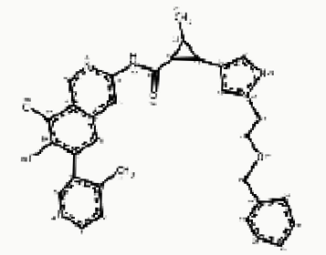 Cc1ccncc1-c1cc2cc(NC(=O)C3C(C)C3c3cnn(CCOCc4ccccc4)c3)ncc2c(Cl)c1F